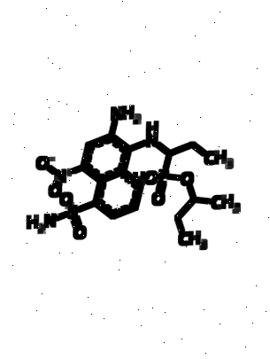 CCC(C)OP(=O)(O)C(CC)Nc1c(N)cc([N+](=O)[O-])c2c(S(N)(=O)=O)cccc12